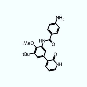 COc1c(NC(=O)c2ccc(N)cc2)cc(-c2ccc[nH]c2=O)cc1C(C)(C)C